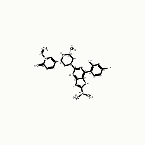 C=Nn1cc([C@H]2CN(c3nc(-c4ccc(F)cc4F)c4sc(N(C)C)nc4n3)C[C@@H](C)O2)ccc1=O